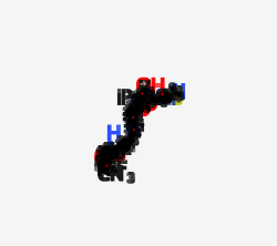 Cc1ncsc1-c1ccc(CNC(=O)[C@@H]2C[C@@H](O)CN2C(=O)C(C(C)C)N2Cc3ccc(N4CCN(CCCc5ccc(C(=O)N[C@H]6C(C)(C)[C@H](Oc7ccc(C#N)c(C(F)(F)F)c7)C6(C)C)cc5)CC4)cc3C2=O)cc1